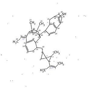 C/C=C(/C)C1C(C)C12CC2CC1CC=CC2=CC1C1CC=C(C(C)=C(C)C1C1C=CC3=CC1CC1CCC3=C1S)/C2=C/C